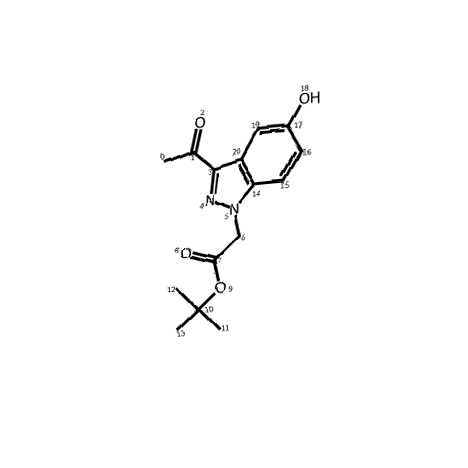 CC(=O)c1nn(CC(=O)OC(C)(C)C)c2ccc(O)cc12